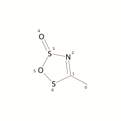 CC1=NS(=O)OS1